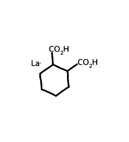 O=C(O)C1CCCCC1C(=O)O.[La]